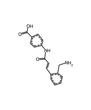 NCc1ccccc1C=CC(=O)Nc1ccc(C(=O)O)cc1